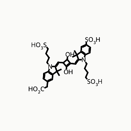 CC1(C)/C(=C\C2C(O)=C(/C=C3/N(CCCCS(=O)(=O)O)c4ccc(S(=O)(=O)O)cc4C3(C)C)C2O)N(CCCCS(=O)(=O)O)c2ccc(CC(=O)O)cc21